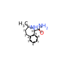 CC1CCc2c[c]ccc2C(C(N)=O)N1